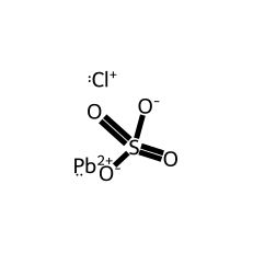 O=S(=O)([O-])[O-].[Cl+].[Pb+2]